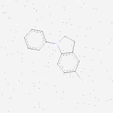 O=[N+]([O-])c1ccc2c(c1)CCN2c1ccccc1